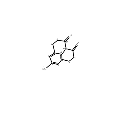 O=C1CCc2cc(O)cc3c2N1C(=O)CC3